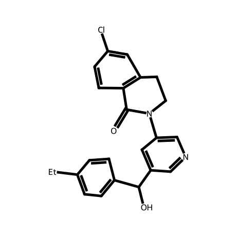 CCc1ccc(C(O)c2cncc(N3CCc4cc(Cl)ccc4C3=O)c2)cc1